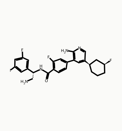 NC[C@@H](NC(=O)c1ccc(-c2cc([C@@H]3CCC[C@H](F)C3)cnc2N)cc1F)c1cc(F)cc(I)c1